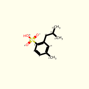 Cc1ccc(S(=O)(=O)O)c(CC(C)C)c1